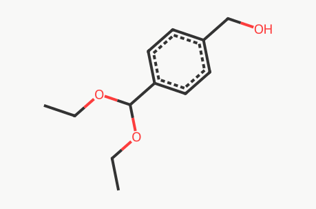 CCOC(OCC)c1ccc(CO)cc1